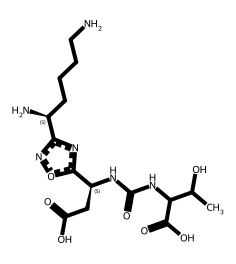 CC(O)C(NC(=O)N[C@@H](CC(=O)O)c1nc([C@@H](N)CCCCN)no1)C(=O)O